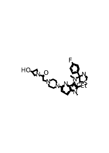 CCc1c(N(C)C2(c3ccc(F)cc3)N=CSC2C#N)c2nc(N3CCN(CC(=O)N4CC(O)C4)CC3)ccc2n1C